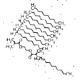 C=C(C)C(=O)OCCOC(=O)C(=C)C.CCCCCCCCCC.CCCCCCCCCC.CCCCCCCCCC.CCCCCCCCCC.CCCCCCCCCC.CCCCCCCCCC.CCCCCCCCCC.CCCCCCCCCC